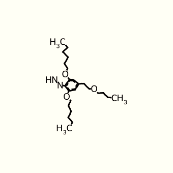 CCCCCCOc1cc(CCOCCCC)cc(OCCCCCC)c1N=N